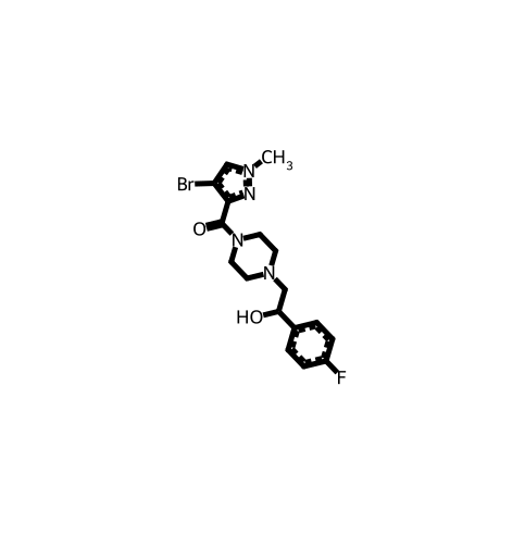 Cn1cc(Br)c(C(=O)N2CCN(CC(O)c3ccc(F)cc3)CC2)n1